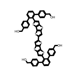 OCc1ccc(-c2cccc(-c3ccc(CO)cc3)c2-c2cc3sc4cc(-c5cc6sc7cc(-c8c(-c9ccc(CO)cc9)cccc8-c8ccc(CO)cc8)sc7c6s5)sc4c3s2)cc1